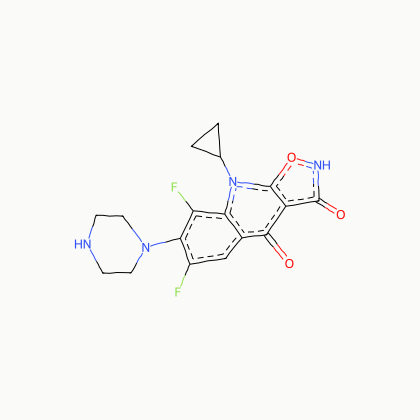 O=c1[nH]oc2c1c(=O)c1cc(F)c(N3CCNCC3)c(F)c1n2C1CC1